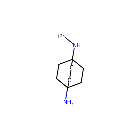 CC(C)NC12CCC(N)(CC1)CC2